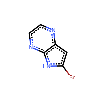 Brc1cc2nccnc2[nH]1